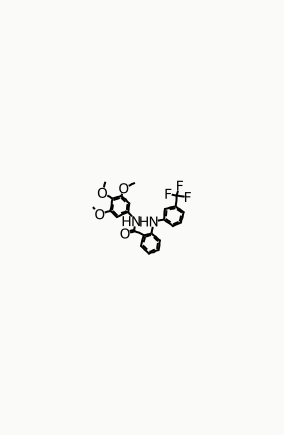 COc1cc(NC(=O)c2ccccc2Nc2cccc(C(F)(F)F)c2)cc(OC)c1OC